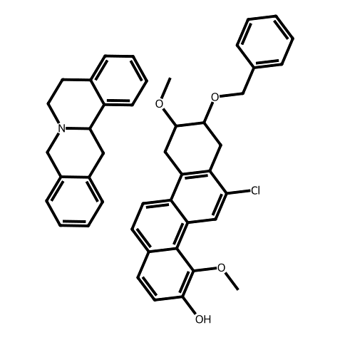 COc1c(O)ccc2ccc3c4c(c(Cl)cc3c12)CC(OCc1ccccc1)C(OC)C4.c1ccc2c(c1)CC1c3ccccc3CCN1C2